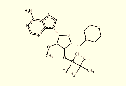 COC1C(O[Si](C)(C)C(C)(C)C)[C@@H](CN2CCOCC2)O[C@H]1n1cnc2c(N)ncnc21